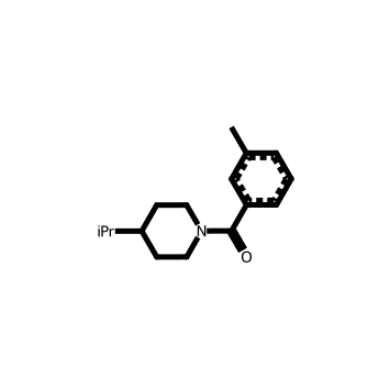 Cc1cccc(C(=O)N2CCC(C(C)C)CC2)c1